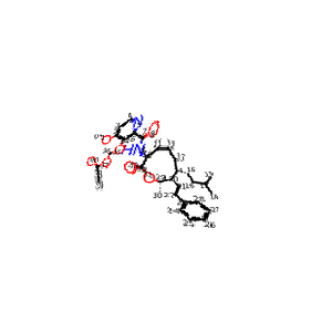 COc1ccnc(C(=O)N[C@H]2CCC[C@H](CCC(C)C)[C@@H](CCc3ccccc3)[C@H](C)OC2=O)c1OCOC(C)=O